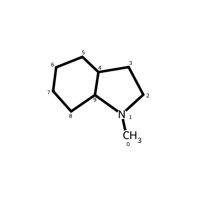 CN1CCC2CCCCC21